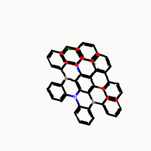 Fc1cccc(F)c1N1c2ccccc2B2c3ccccc3N3c4ccccc4B4c5ccccc5Sc5c4c3c2c1c5-c1c(-c2ccccc2)cccc1-c1ccccc1